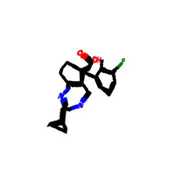 Cc1c(F)cccc1C1(C(=O)O)CCc2nc(C3CC3)ncc21